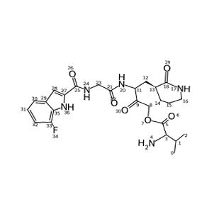 CC(C)C(N)C(=O)OCC(=O)C(C[C@@H]1CCCNC1=O)NC(=O)CNC(=O)c1cc2cccc(F)c2[nH]1